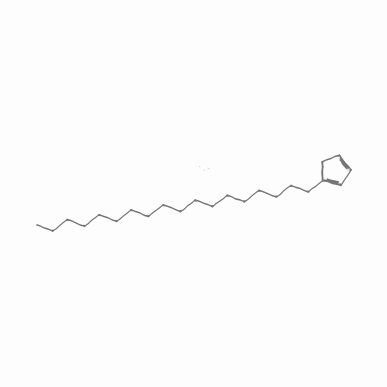 CCCCCCCCCCCCCCCCCCC1=CC=CC1.[NaH]